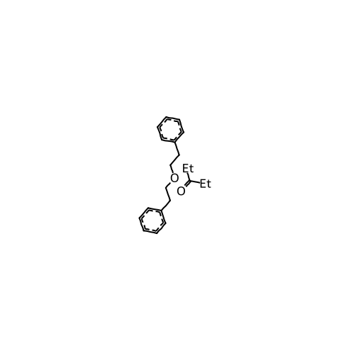 CCC(=O)CC.c1ccc(CCOCCc2ccccc2)cc1